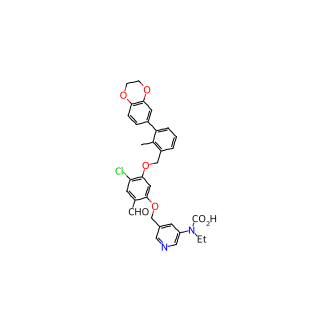 CCN(C(=O)O)c1cncc(COc2cc(OCc3cccc(-c4ccc5c(c4)OCCO5)c3C)c(Cl)cc2C=O)c1